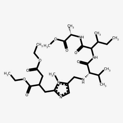 CCOC(=O)CC(Cc1ncc(CN[C@H](C(=O)NC(C(=O)N[C@@H](C)C(=O)OC)C(C)CC)C(C)C)n1C)C(=O)OCC